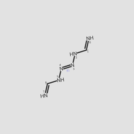 N=[C]N/N=N/N[C]=N